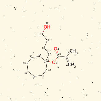 C=C(C)C(=O)OC1(CCCCO)CCCCCCC1